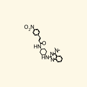 CN(C)c1nc(N[C@H]2CC[C@@H](NC(=O)/C=C/c3ccc([N+](=O)[O-])cc3)CC2)nc2ccccc12